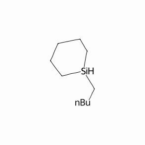 CCCCC[SiH]1CCCCC1